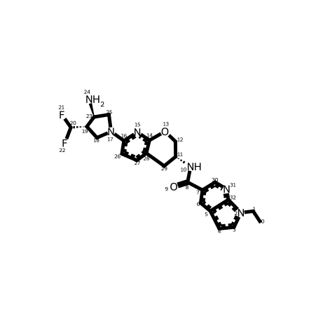 CCn1ccc2cc(C(=O)N[C@H]3COc4nc(N5C[C@H](C(F)F)[C@@H](N)C5)ccc4C3)cnc21